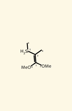 COC(OC)=C(C)[SiH2]C